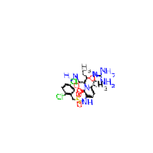 Cc1ccc(NS(=O)(=O)Cc2cc(Cl)ccc2Cl)c(=O)n1C(C(N)=O)C(C)ON=C(N)N